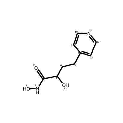 O=C(NO)C(O)CCc1ccncc1